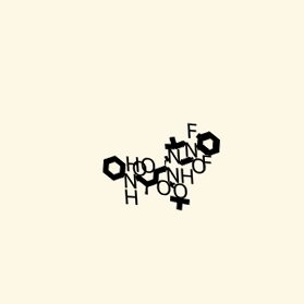 C[C@H](C[C@H](O)[C@H](CN1CC(=O)N(c2c(F)cccc2F)CC1(C)C)NC(=O)OC(C)(C)C)C(=O)NC1CCCCC1